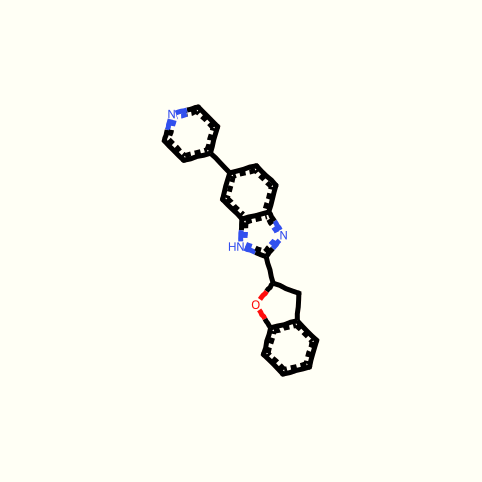 c1ccc2c(c1)CC(c1nc3ccc(-c4ccncc4)cc3[nH]1)O2